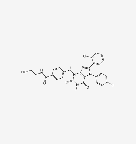 C[C@@H](c1ccc(C(=O)NCCO)cc1)n1c(=O)n(C)c(=O)c2c1nc(-c1ccccc1Cl)n2-c1ccc(Cl)cc1